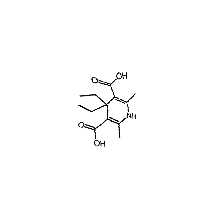 CCC1(CC)C(C(=O)O)=C(C)NC(C)=C1C(=O)O